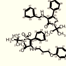 CC(C)(C)N1C(=O)C(NCCCOc2ccncc2)=C(c2ccccc2)S1(=O)=O.CC(C)(C)n1sc(-c2ccccc2)c(NCc2ccccc2)c1=O